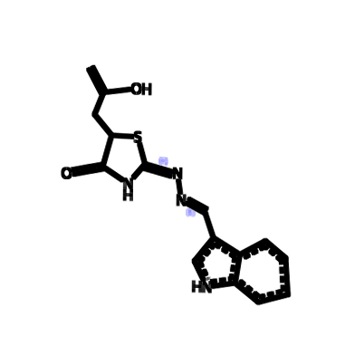 C=C(O)CC1S/C(=N/N=C/c2c[nH]c3ccccc23)NC1=O